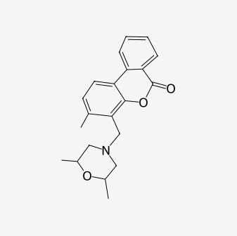 Cc1ccc2c(oc(=O)c3ccccc32)c1CN1CC(C)OC(C)C1